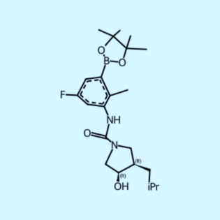 Cc1c(NC(=O)N2C[C@@H](CC(C)C)[C@@H](O)C2)cc(F)cc1B1OC(C)(C)C(C)(C)O1